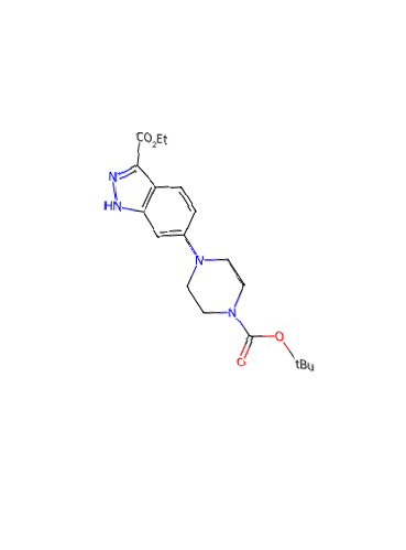 CCOC(=O)c1n[nH]c2cc(N3CCN(C(=O)OC(C)(C)C)CC3)ccc12